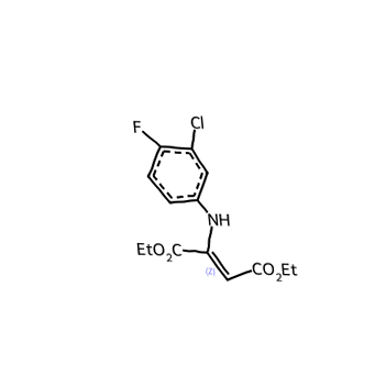 CCOC(=O)/C=C(\Nc1ccc(F)c(Cl)c1)C(=O)OCC